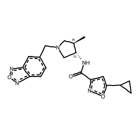 C[C@@H]1CN(Cc2ccc3nonc3c2)C[C@H]1NC(=O)c1cc(C2CC2)on1